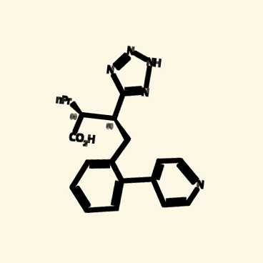 CCC[C@H](C(=O)O)[C@H](Cc1ccccc1-c1ccncc1)c1nn[nH]n1